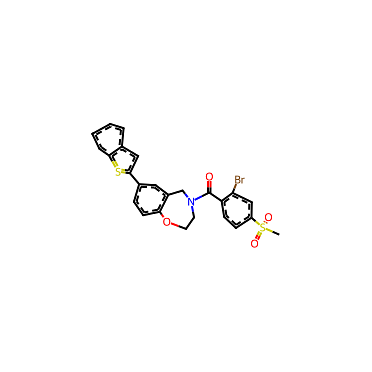 CS(=O)(=O)c1ccc(C(=O)N2CCOc3ccc(-c4cc5ccccc5s4)cc3C2)c(Br)c1